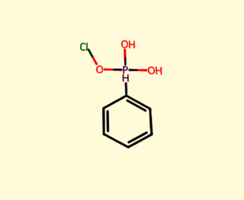 O[PH](O)(OCl)c1ccccc1